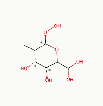 CC1[C@@H](OO)OC(C(O)O)[C@H](O)[C@@H]1O